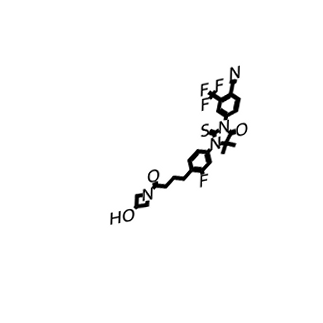 CC1(C)C(=O)N(c2ccc(C#N)c(C(F)(F)F)c2)C(=S)N1c1ccc(CCCC(=O)N2CC(O)C2)c(F)c1